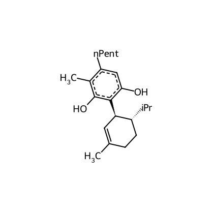 CCCCCc1cc(O)c([C@@H]2C=C(C)CC[C@H]2C(C)C)c(O)c1C